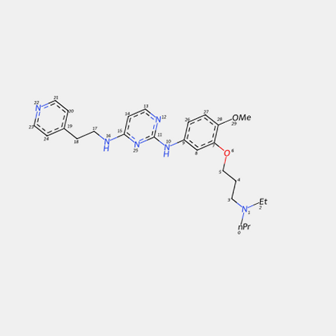 CCCN(CC)CCCOc1cc(Nc2nccc(NCCc3ccncc3)n2)ccc1OC